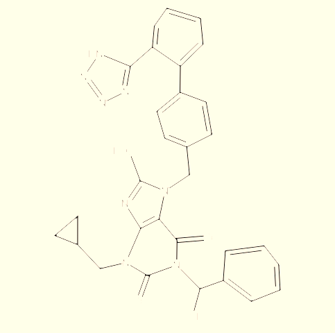 Cc1nc2c(c(=O)n(C(C)c3ccccc3)c(=O)n2CC2CC2)n1Cc1ccc(-c2ccccc2-c2nnn[nH]2)cc1